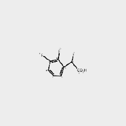 O=C(O)C(F)c1cccc(F)c1F